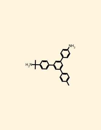 Cc1ccc(-c2cc(-c3ccc(N)cc3)cc(-c3ccc(C(C)(C)N)cc3)c2)cc1